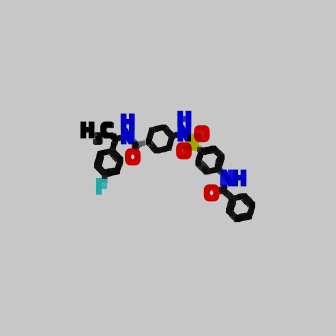 C[C@@H](NC(=O)[C@H]1CC[C@H](NS(=O)(=O)c2ccc(NC(=O)c3ccccc3)cc2)CC1)c1ccc(F)cc1